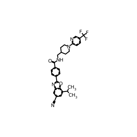 CC(C)c1cc(C#N)cc2nc(-c3ccc(C(=O)NCC4CCN(c5ccc(C(F)(F)F)cn5)CC4)cc3)oc12